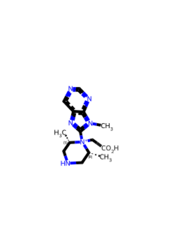 C[C@@H]1CNC[C@H](C)[N+]1(CC(=O)O)c1nc2cncnc2n1C